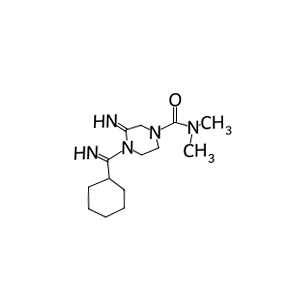 CN(C)C(=O)N1CCN(C(=N)C2CCCCC2)C(=N)C1